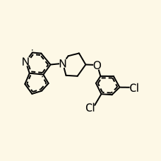 Clc1cc(Cl)cc(OC2CCN(c3c[c]nc4ccccc34)CC2)c1